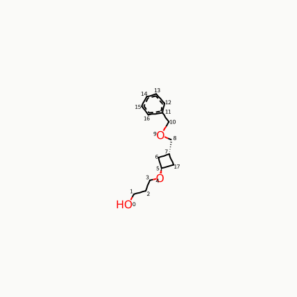 OCCCO[C@H]1C[C@H](COCc2ccccc2)C1